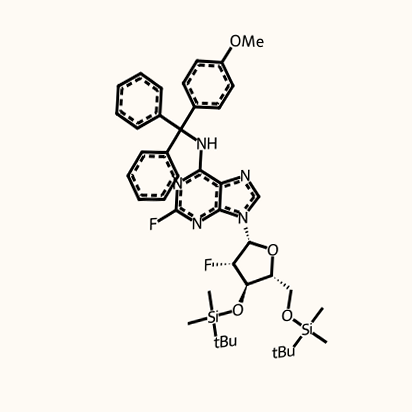 COc1ccc(C(Nc2nc(F)nc3c2ncn3[C@@H]2O[C@H](CO[Si](C)(C)C(C)(C)C)[C@@H](O[Si](C)(C)C(C)(C)C)[C@@H]2F)(c2ccccc2)c2ccccc2)cc1